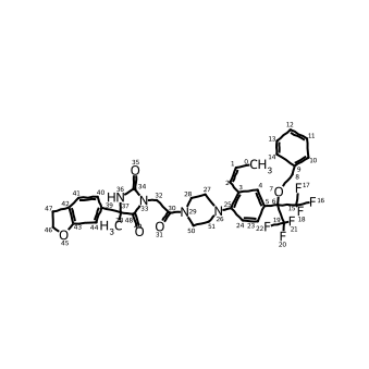 C/C=C\c1cc(C(OCc2ccccc2)(C(F)(F)F)C(F)(F)F)ccc1N1CCN(C(=O)CN2C(=O)NC(C)(c3ccc4c(c3)OCC4)C2=O)CC1